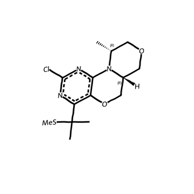 CSC(C)(C)c1nc(Cl)nc2c1OC[C@H]1COC[C@@H](C)N21